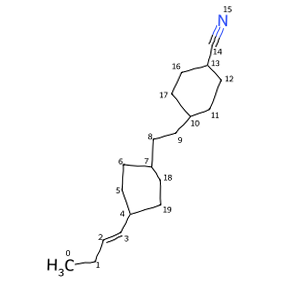 CCC=CC1CCC(CCC2CCC(C#N)CC2)CC1